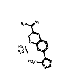 CS(=O)(=O)O.N=C(N)C1=Cc2ccc(-c3ccoc3C(=O)O)cc2OC1.O